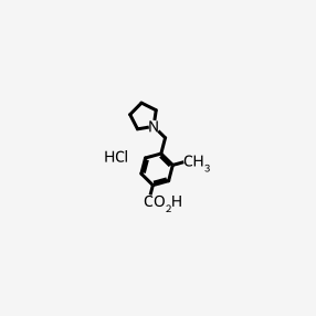 Cc1cc(C(=O)O)ccc1CN1CCCC1.Cl